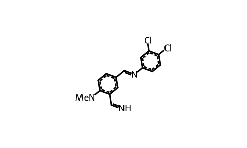 CNc1ccc(/C=N/c2ccc(Cl)c(Cl)c2)cc1C=N